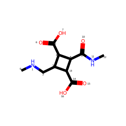 CNCC1C(C(=O)O)C(C(=O)NC)C1C(=O)O